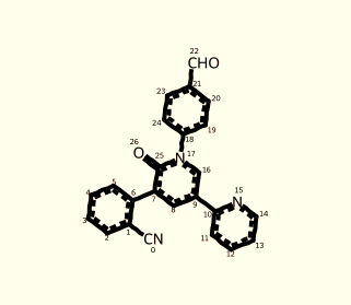 N#Cc1ccccc1-c1cc(-c2ccccn2)cn(-c2ccc(C=O)cc2)c1=O